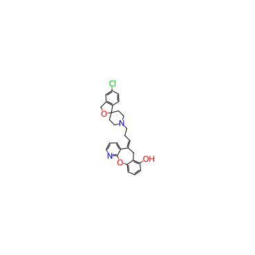 Oc1cccc2c1C/C(=C/CCN1CCC3(CC1)OCc1cc(Cl)ccc13)c1cccnc1O2